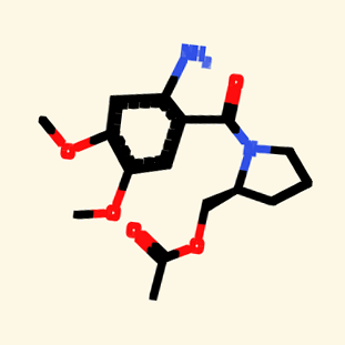 COc1cc(N)c(C(=O)N2CCC[C@H]2COC(C)=O)cc1OC